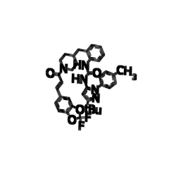 Cc1ccc(-n2nc(C(C)(C)C)cc2NC(=O)Nc2ccccc2CC2CCN(C(=O)C=Cc3ccc4c(c3)OC(F)(F)O4)CC2)cc1